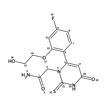 NC(=O)Cn1c(-c2ccc(F)cc2OCCO)cc(=O)[nH]c1=S